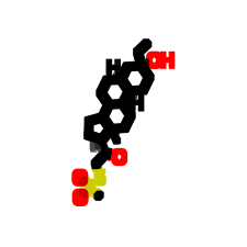 CC[C@@]1(O)CC[C@@H]2C3CC[C@@]4(C)C(CC[C@@H]4C(=O)CSS(C)(=O)=O)C3CC[C@@H]2C1